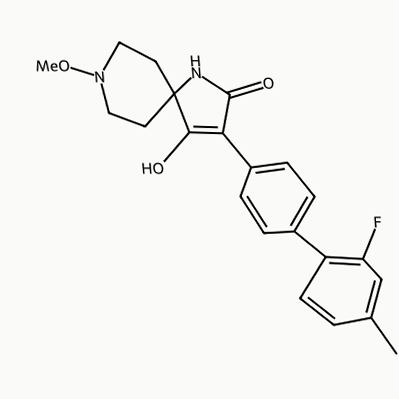 CON1CCC2(CC1)NC(=O)C(c1ccc(-c3ccc(C)cc3F)cc1)=C2O